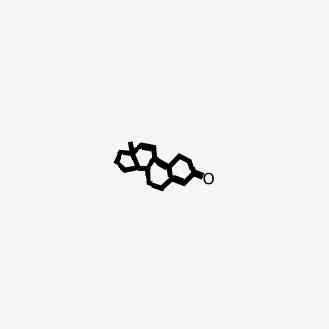 CC12C=CC3=C4CCC(=O)C=C4CCC3C1CCC2